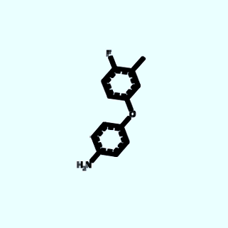 Cc1cc(Oc2c[c]c(N)cc2)ccc1F